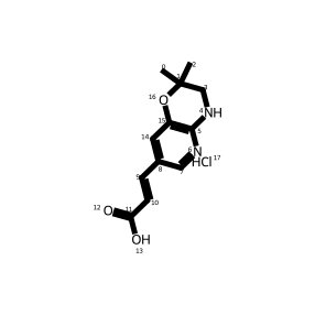 CC1(C)CNc2ncc(/C=C/C(=O)O)cc2O1.Cl